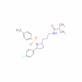 Cc1ccc(S(=O)(=O)N2C(CCCNC(=O)C(C)C)CCC2c2ccc(F)cc2)cc1